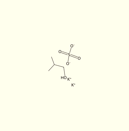 CC(C)CO.O=S(=O)([O-])[O-].[K+].[K+]